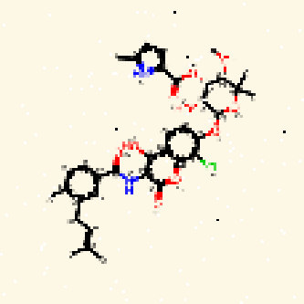 CO[C@@H]1[C@@H](OC(=O)c2ccc(C)[nH]2)[C@@H](O)[C@H](Oc2ccc3c(O)c(NC(=O)c4ccc(C)c(CC=C(C)C)c4)c(=O)oc3c2Cl)OC1(C)C